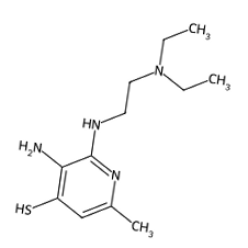 CCN(CC)CCNc1nc(C)cc(S)c1N